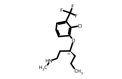 CCC[C@@H](CCNC)Oc1cccc(C(F)(F)F)c1Cl